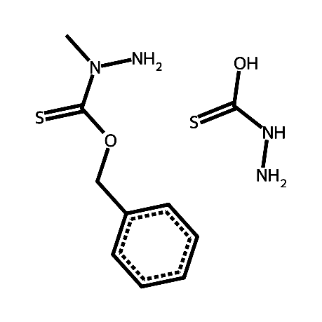 CN(N)C(=S)OCc1ccccc1.NNC(O)=S